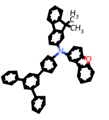 CC1(C)c2ccccc2-c2ccc(N(c3ccc(-c4cc(-c5ccccc5)cc(-c5ccccc5)c4)cc3)c3ccc4oc5ccccc5c4c3)cc21